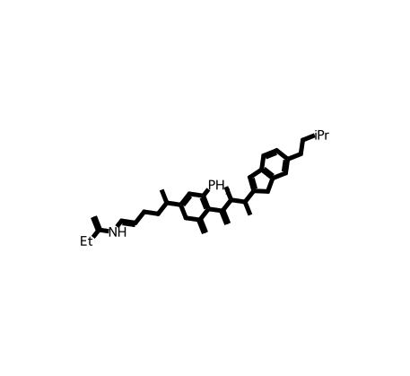 C=C(CC)N/C=C/CCC(C)C1=CC(P)=C(C(=C)C(C)C(C)C2=Cc3ccc(CCC(C)C)cc3C2)C(=C)C1